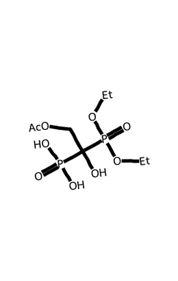 CCOP(=O)(OCC)C(O)(COC(C)=O)P(=O)(O)O